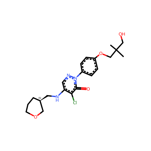 CC(C)(CO)COc1ccc(-n2ncc(NC[C@@H]3CCCOC3)c(Cl)c2=O)cc1